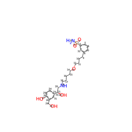 NS(=O)(=O)c1cccc(CCCCOCCCCCNC[C@@H](O)c2ccc(O)c(CO)c2)c1